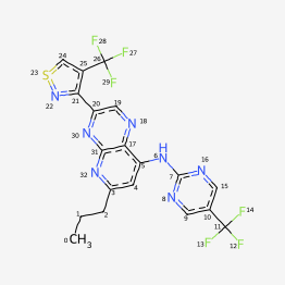 CCCc1cc(Nc2ncc(C(F)(F)F)cn2)c2ncc(-c3nscc3C(F)(F)F)nc2n1